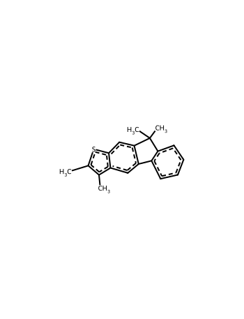 Cc1sc2cc3c(cc2c1C)-c1ccccc1C3(C)C